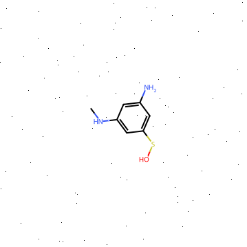 CNc1cc(N)cc(SO)c1